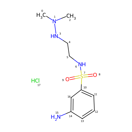 CN(C)NCCNS(=O)(=O)c1cccc(N)c1.Cl